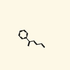 [CH]=C(C=CC=C)c1ccccc1